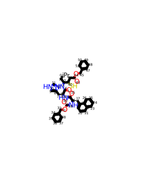 CC(C)CC(NC(=O)[C@H](Cc1c[nH]cn1)NC(=O)[C@H](Cc1cccc2ccccc12)NC(=O)OCc1ccccc1)C(S)CC(=O)OCc1ccccc1